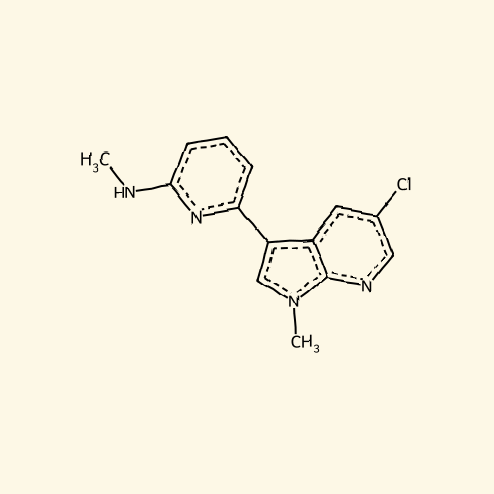 CNc1cccc(-c2cn(C)c3ncc(Cl)cc23)n1